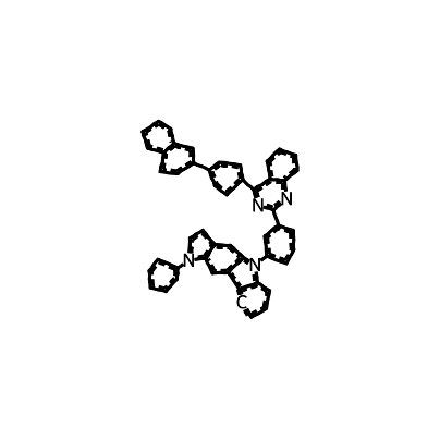 c1ccc(-n2ccc3cc4c(cc32)c2ccccc2n4-c2cccc(-c3nc(-c4ccc(-c5ccc6ccccc6c5)cc4)c4ccccc4n3)c2)cc1